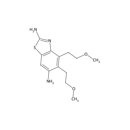 COCCc1c(N)cc2sc(N)nc2c1CCOC